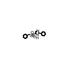 O=S(=O)(OCc1ccccc1)c1cnc(-c2ccccc2)[nH]1